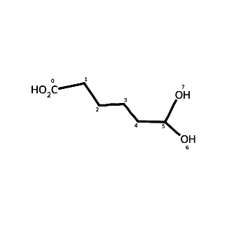 O=C(O)CCCCC(O)O